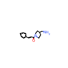 NCC1CCN(C(=O)C=Cc2ccccc2)CC1